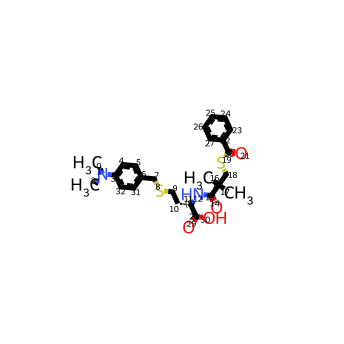 CN(C)c1ccc(CSCC[C@H](NC(=O)C(C)(C)CSC(=O)c2ccccc2)C(=O)O)cc1